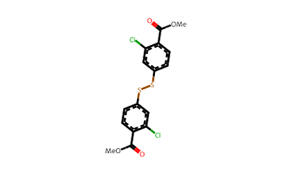 COC(=O)c1ccc(SSc2ccc(C(=O)OC)c(Cl)c2)cc1Cl